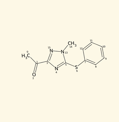 CC(=O)c1nc(Sc2ccccc2)n(C)n1